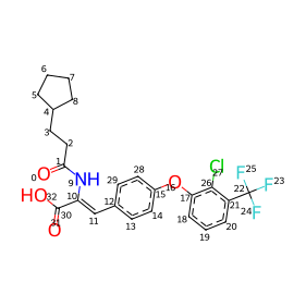 O=C(CCC1CCCC1)NC(=Cc1ccc(Oc2cccc(C(F)(F)F)c2Cl)cc1)C(=O)O